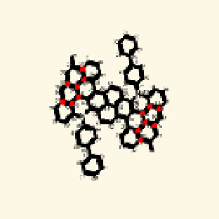 Cc1cc(C)c(B2c3ccccc3N(c3ccc(-c4ccccc4)cc3)c3c2c(-c2ccccc2-c2ccccc2)c2ccc4c5c(c(-c6ccccc6-c6ccccc6)c6ccc3c2c64)B(c2c(C)cc(C)cc2C)c2ccccc2N5c2ccc(-c3ccccc3)cc2)c(C)c1